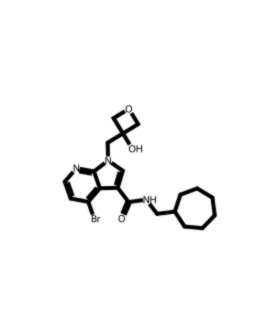 O=C(NCC1CCCCCC1)c1cn(CC2(O)COC2)c2nccc(Br)c12